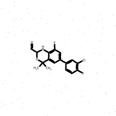 CC1(C)OC(C=O)Nc2c(F)cc(-c3ccc(F)c(Cl)c3)cc21